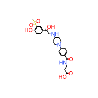 CS(=O)(=O)c1cc([C@@H](O)CNC2CCN(c3ccc(C(=O)NCCC(=O)O)cc3)CC2)ccc1O